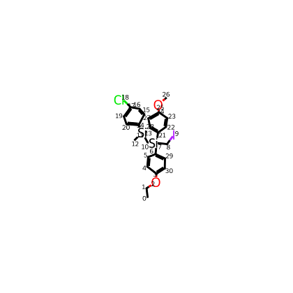 CCOc1ccc([Si](CI)(C[Si](C)(C)c2ccc(Cl)cc2)c2ccc(OC)cc2)cc1